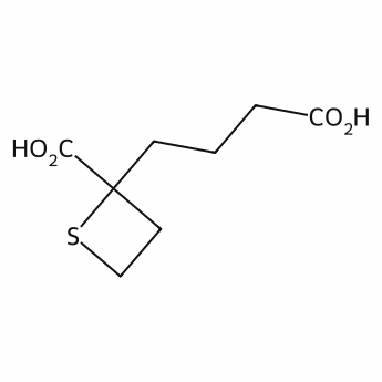 O=C(O)CCCC1(C(=O)O)CCS1